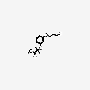 COC(=O)C(C)(C)Oc1cccc(OCCCCl)c1